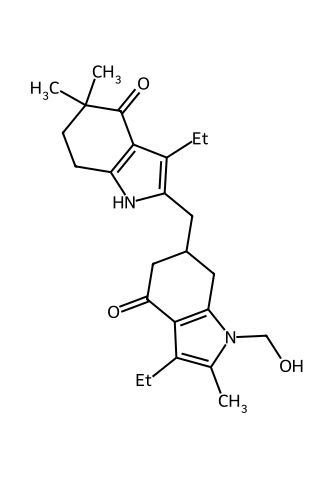 CCc1c(CC2CC(=O)c3c(CC)c(C)n(CO)c3C2)[nH]c2c1C(=O)C(C)(C)CC2